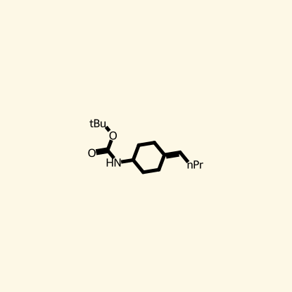 CCCC=C1CCC(NC(=O)OC(C)(C)C)CC1